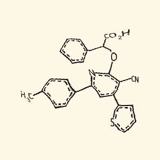 Cc1ccc(-c2cc(-c3cccs3)c(C#N)c(OC(C(=O)O)c3ccccc3)n2)cc1